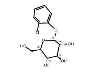 OC[C@H]1O[C@H](Oc2ccccc2Cl)[C@H](O)[C@@H](O)[C@@H]1O